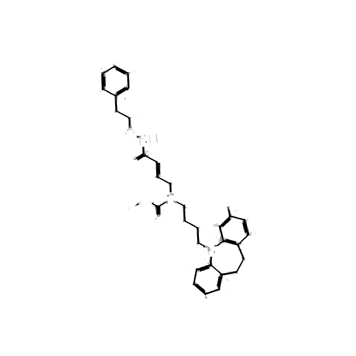 CC(C)(C)OC(=O)N(C/C=C/C(=O)NOCCc1ccccc1)CCCCN1c2ccccc2CCc2ccc(Cl)cc21